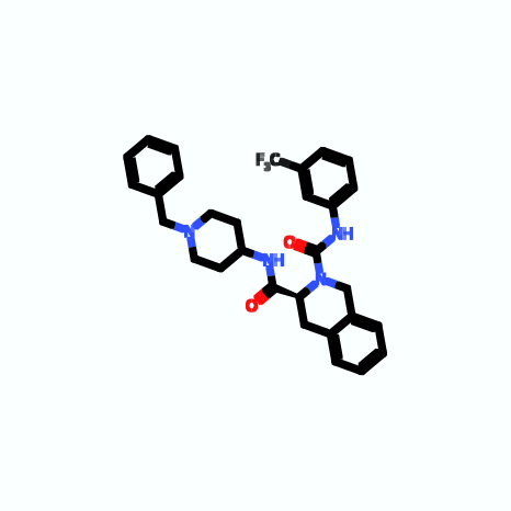 O=C(NC1CCN(Cc2ccccc2)CC1)[C@@H]1Cc2ccccc2CN1C(=O)Nc1cccc(C(F)(F)F)c1